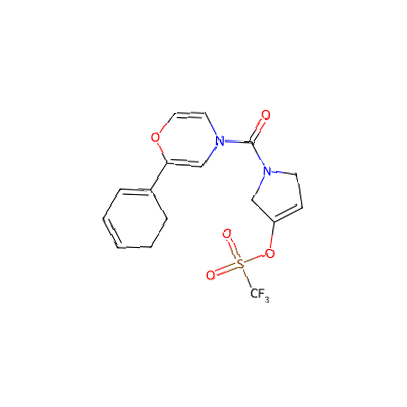 O=C(N1C=COC(C2=CC=CCC2)=C1)N1CC=C(OS(=O)(=O)C(F)(F)F)C1